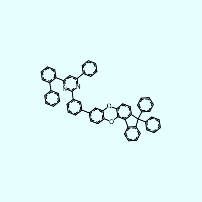 c1ccc(-c2cc(-c3ccccc3-c3ccccc3)nc(-c3cccc(-c4ccc5c(c4)Oc4ccc6c(c4O5)-c4ccccc4C6(c4ccccc4)c4ccccc4)c3)n2)cc1